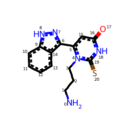 NCCCn1c(-c2n[nH]c3ccccc23)cc(=O)[nH]c1=S